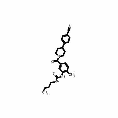 CCCCNC(=O)Nc1cc(C(=O)N2CCC(c3ccc(C#N)cc3)CC2)ccc1C